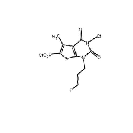 CCOC(=O)c1sc2c(c1C)c(=O)n(CC)c(=O)n2CCCF